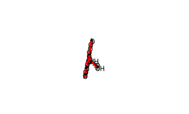 COCCOCCOCCOCCOCC(COCCOCCOCCOCCOC)OC(=O)NCCCCCC(=O)O